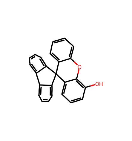 Oc1cccc2c1Oc1ccccc1C21c2ccccc2-c2ccccc21